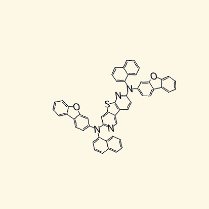 c1ccc2c(N(c3ccc4c(c3)oc3ccccc34)c3cc4sc5nc(N(c6ccc7c(c6)oc6ccccc67)c6cccc7ccccc67)ccc5c4cn3)cccc2c1